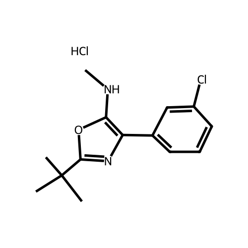 CNc1oc(C(C)(C)C)nc1-c1cccc(Cl)c1.Cl